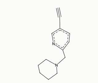 C#Cc1ccc(CN2CCCCC2)nc1